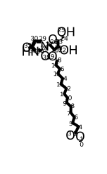 COC(=O)CCCCCCCCCCCCCCCOC1C(O)[C@@H](CO)O[C@H]1n1ccc(=O)[nH]c1=O